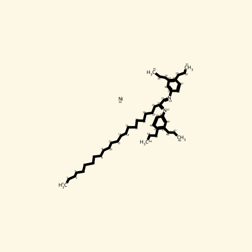 CCCCCCCCCCCCCCCCCCCCCCC(C=Nc1ccc(CCC)c(CCC)c1)=Nc1ccc(CCC)c(CCC)c1.[Ni]